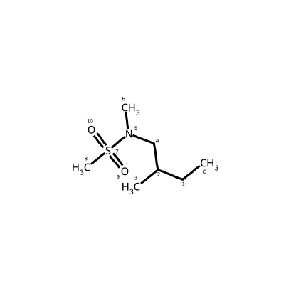 C[CH]C(C)CN(C)S(C)(=O)=O